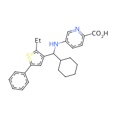 CCc1sc(-c2ccccc2)cc1C(Nc1ccc(C(=O)O)nc1)C1CCCCC1